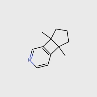 CC12CCCC1(C)c1cnccc12